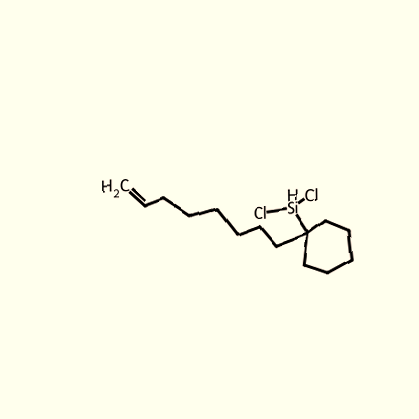 C=CCCCCCCC1([SiH](Cl)Cl)CCCCC1